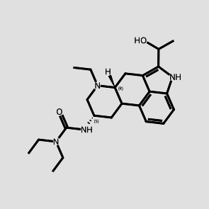 CCN(CC)C(=O)N[C@H]1CC2c3cccc4[nH]c(C(C)O)c(c34)C[C@H]2N(CC)C1